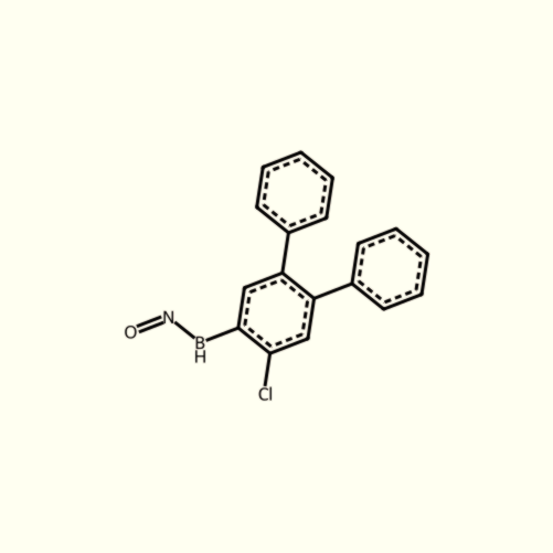 O=NBc1cc(-c2ccccc2)c(-c2ccccc2)cc1Cl